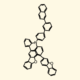 c1cc(-c2ccc(N(c3ccc(-c4ccc5c(c4)oc4ccccc45)cc3)c3ccccc3-c3ccc4oc5ccccc5c4c3)cc2)cc(-c2ccc3ccccc3c2)c1